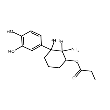 [2H]C1(c2ccc(O)c(O)c2)CCCC(OC(=O)CC)C1([2H])N